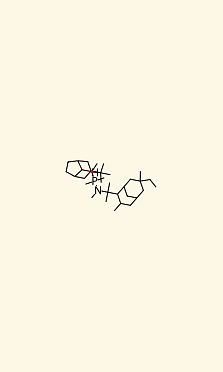 CCC1(C)CC2CC(C)C(C(C)(C)N(C)[PH](C)(C)C(C)C3C4CCC3CC(C(C)(C)C)C4)C(C2)C1